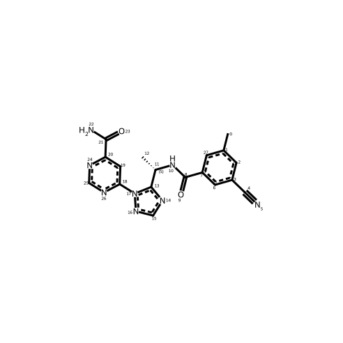 Cc1cc(C#N)cc(C(=O)N[C@@H](C)c2ncnn2-c2cc(C(N)=O)ncn2)c1